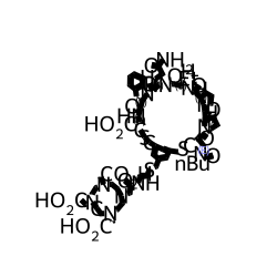 CCCCC(=O)/N=C/C1CSCc2cc(CSCCNC(=O)CN3CCN(CC(=O)O)CCN(CC(=O)O)CCN(CC(=O)O)CC3)cc(c2)CSC[C@@H](C(=O)O)NC(=O)[C@H](Cc2ccccc2)NC(=O)[C@H](CCC(N)=O)NC(=O)[C@H](CC)NC(=O)[C@@H]2CCCN2C(=O)[C@@H]2CCCN2C1=O